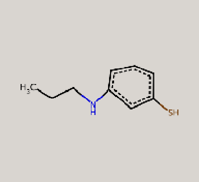 CCCNc1cccc(S)c1